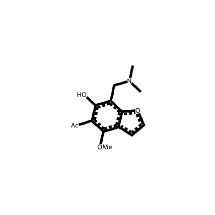 COc1c(C(C)=O)c(O)c(CN(C)C)c2occc12